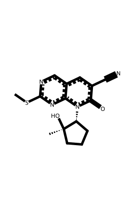 CSc1ncc2cc(C#N)c(=O)n([C@@H]3CCC[C@@]3(C)O)c2n1